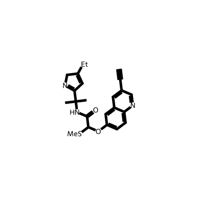 C#Cc1cnc2ccc(OC(SC)C(=O)NC(C)(C)C3=NCC(CC)=C3)cc2c1